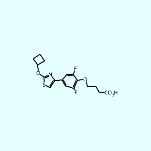 O=C(O)CCCOc1c(F)cc(-c2csc(OC3CCC3)n2)cc1F